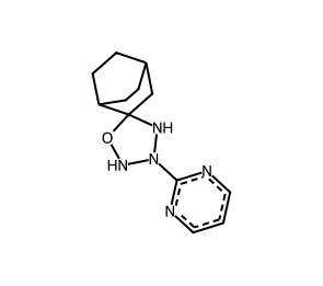 c1cnc(N2NOC3(CC4CCC3CC4)N2)nc1